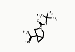 CC(C)(C)OC(=O)N1CC2CC2(C(=N)N)C1